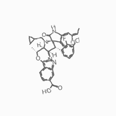 C=C1/C(=C\C(Cl)=C/C)NC(=O)[C@@]12[C@H](c1cccc(Cl)c1F)[C@@H]1[C@@H]([C@@H](C)Oc3c4ccc(C(=O)O)cc4nn31)N2CC1CC1